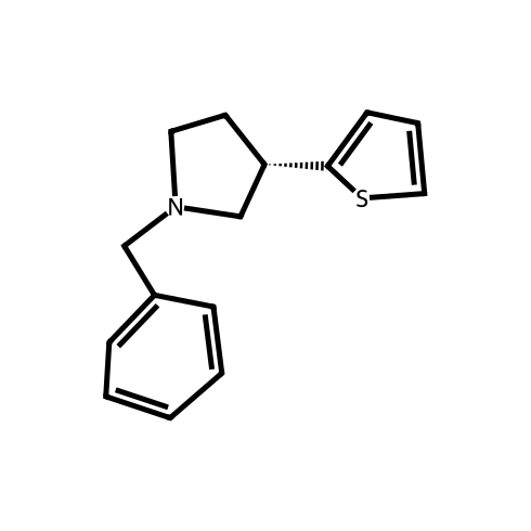 c1ccc(CN2CC[C@H](c3cccs3)C2)cc1